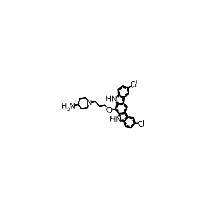 NC1CCN(CCCOc2c3[nH]c4ccc(Cl)cc4c3cc3c2[nH]c2ccc(Cl)cc23)CC1